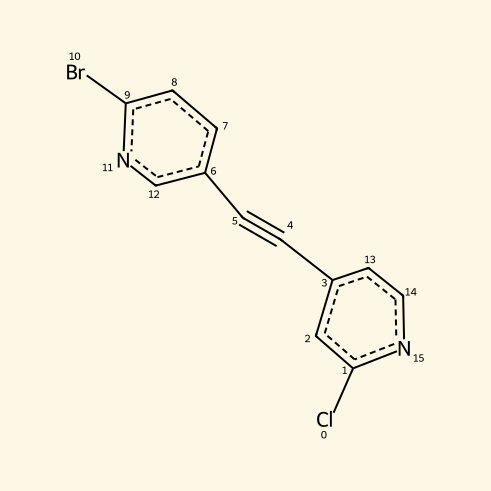 Clc1cc(C#Cc2ccc(Br)nc2)ccn1